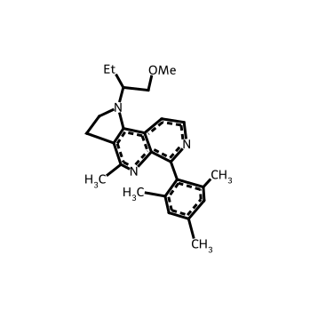 CCC(COC)N1CCc2c(C)nc3c(-c4c(C)cc(C)cc4C)nccc3c21